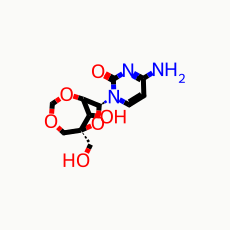 Nc1ccn([C@@H]2O[C@@]3(CO)COCOC2C3O)c(=O)n1